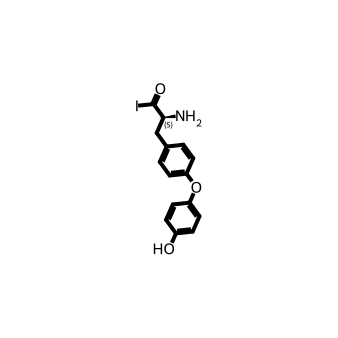 N[C@@H](Cc1ccc(Oc2ccc(O)cc2)cc1)C(=O)I